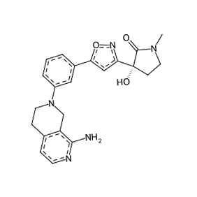 CN1CC[C@@](O)(c2cc(-c3cccc(N4CCc5ccnc(N)c5C4)c3)on2)C1=O